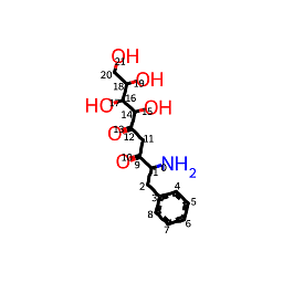 NC(Cc1ccccc1)C(=O)CC(=O)C(O)C(O)C(O)CO